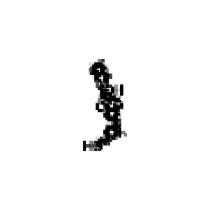 O=C1c2ccc(OC3CCN(CCO)CC3F)cc2OCCN1C[C@H](O)CN1CCc2ccccc2C1